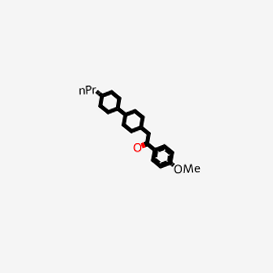 CCCC1CCC(C2CCC(CC(=O)c3ccc(OC)cc3)CC2)CC1